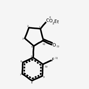 CCOC(=O)C1CCC(c2ccccc2F)C1=O